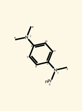 CCCN(C)c1ccc(N(C)C)cc1